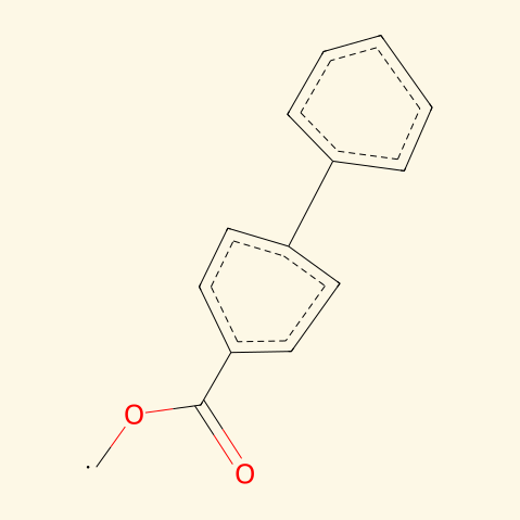 [CH2]OC(=O)c1ccc(-c2ccccc2)cc1